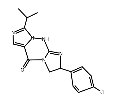 CC(C)c1ncc2n1NC1=NC(c3ccc(Cl)cc3)CN1C2=O